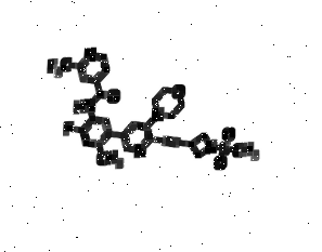 Cc1cc(F)c(NC(=O)c2ccnc(C(F)(F)F)c2)cc1-c1cnc(C#CC2CN(S(C)(=O)=O)C2)c(N2CCOCC2)c1